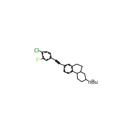 CCCCC1CCC2c3ccc(C#Cc4ccc(Cl)c(F)c4)cc3CCC2C1